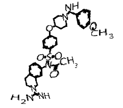 COc1ccc(C(=N)N2CCC(Oc3ccc(S(=O)(=O)N(C(C)=O)c4ccc5c(c4)CN(C(=N)N)CC5)cc3)CC2)cc1